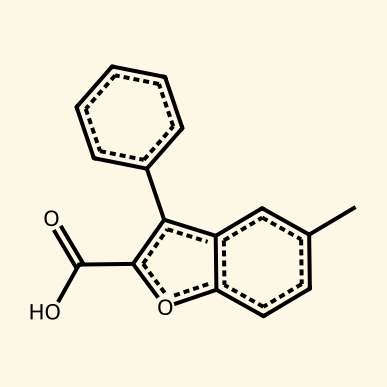 Cc1ccc2oc(C(=O)O)c(-c3ccccc3)c2c1